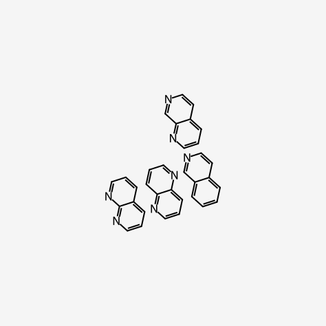 c1ccc2cnccc2c1.c1cnc2cccnc2c1.c1cnc2cnccc2c1.c1cnc2ncccc2c1